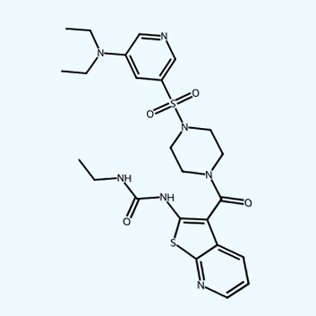 CCNC(=O)Nc1sc2ncccc2c1C(=O)N1CCN(S(=O)(=O)c2cncc(N(CC)CC)c2)CC1